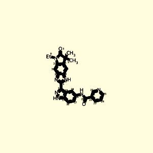 CCN1C(=O)C(C)(C)c2cc3[nH]c(-c4n[nH]c5ccc(NC(=O)c6cccnc6)cc45)nc3cc21